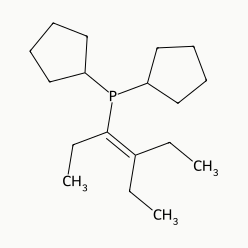 CCC(CC)=C(CC)P(C1CCCC1)C1CCCC1